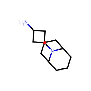 NC1CC(N2C3CCCC2CCC3)C1